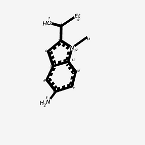 CCC(O)c1cc2cc(N)ccc2n1C